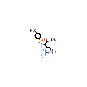 CCC(NC(=N)N)C(NS(=O)(=O)c1ccc(C)cc1)C(=O)OC